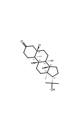 CC(C)(O)[C@H]1CC[C@H]2[C@@H]3CC[C@H]4CC(=O)CC[C@]4(C)[C@H]3CC[C@]12C